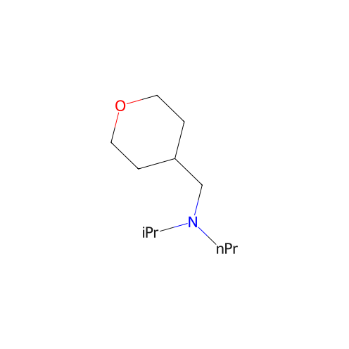 CCCN(CC1CCOCC1)C(C)C